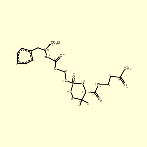 CCOC(=O)[C@H](Cc1ccccc1)NC(=O)OCOP1(=O)OCC(C)(C)[C@H](C(=O)NCCC(=O)OC)O1